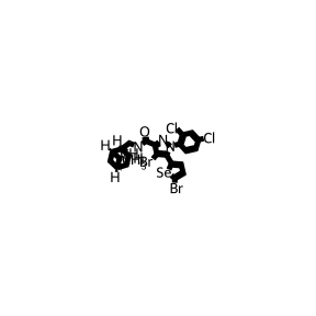 CC1(C)[C@@H]2CC[C@@H](CNC(=O)c3nn(-c4ccc(Cl)cc4Cl)c(-c4ccc(Br)[se]4)c3Br)[C@H]1C2